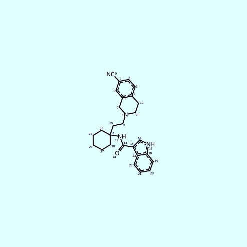 N#Cc1ccc2c(c1)CN(CCC1(NC(=O)c3c[nH]c4ccccc34)CCCCC1)CC2